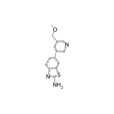 COCc1cncc(-c2ccc3nc(N)sc3c2)c1